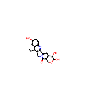 CCc1c2c(nc3ccc(O)cc13)-c1cc3c(c(=O)n1C2)COC(O)[C@H]3O